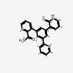 NC(=O)c1ncccc1-c1cc(-c2ccccn2)cc(-c2ccc[nH]c2=O)c1